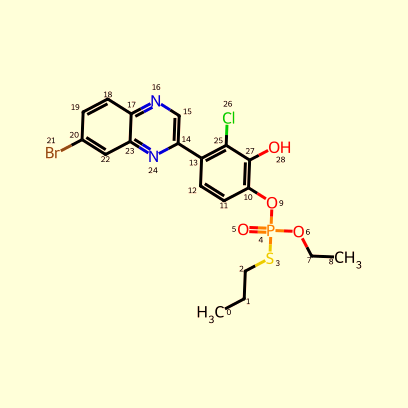 CCCSP(=O)(OCC)Oc1ccc(-c2cnc3ccc(Br)cc3n2)c(Cl)c1O